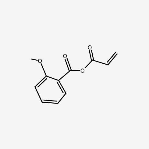 C=CC(=O)OC(=O)c1ccccc1OC